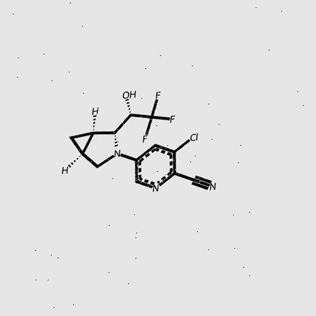 N#Cc1ncc(N2C[C@H]3C[C@H]3[C@@H]2[C@H](O)C(F)(F)F)cc1Cl